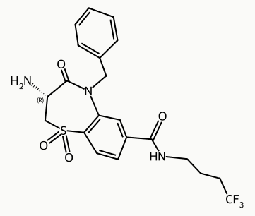 N[C@H]1CS(=O)(=O)c2ccc(C(=O)NCCCC(F)(F)F)cc2N(Cc2ccccc2)C1=O